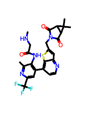 CNCC(=O)Nc1c(-c2ccnc3cc(CN4C(=O)C5C(C4=O)C5(C)C)sc23)cc(C(F)(F)F)nc1C